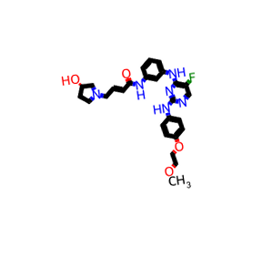 COCCOc1ccc(Nc2ncc(F)c(Nc3cccc(NC(=O)/C=C/CN4CC[C@@H](O)C4)c3)n2)cc1